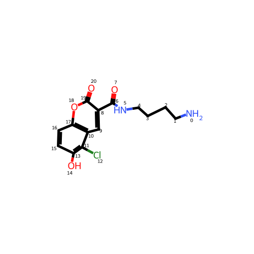 NCCCCNC(=O)c1cc2c(Cl)c(O)ccc2oc1=O